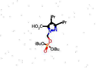 CC(C)COP(=O)(OCC(C)C)OCn1nc(C(C)C)c(C(C)C)c1C(=O)O